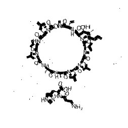 C/C=C/C[C@@H](C)[C@@H](O)[C@H]1C(=O)N[C@@H](CC)C(=O)N(C)CC(=O)N(C)[C@@H](CC(C)C)C(=O)N[C@@H](C(C)C)C(=O)N(C)[C@@H](CC(C)C)C(=O)N[C@@H](C)C(=O)N[C@H](C)C(=O)N(C)[C@@H](CC(C)C)C(=O)N(C)[C@@H](CC(C)C)C(=O)N(C)[C@@H](C(C)C)C(=O)N1C.NCCC(=O)N[C@@H](Cc1c[nH]cn1)C(=O)O